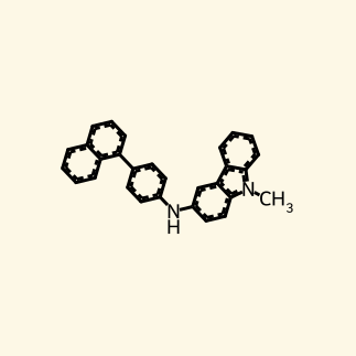 Cn1c2ccccc2c2cc(Nc3ccc(-c4cccc5ccccc45)cc3)ccc21